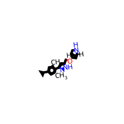 Cc1cc(C2CC2)cc(C)c1-c1cc(CO[C@@H]2C[C@@H]3C[C@H]2CN3)[nH]n1